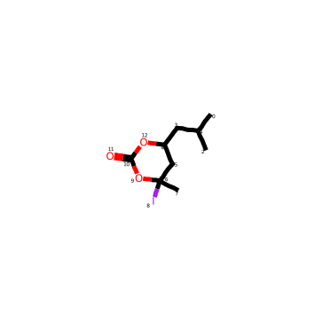 CC(C)CC1CC(C)(I)OC(=O)O1